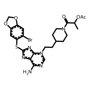 CC(=O)OC(C)C(=O)N1CCC(CCn2cnc(N)c3nc(Sc4cc5c(cc4Br)OCO5)nc2-3)CC1